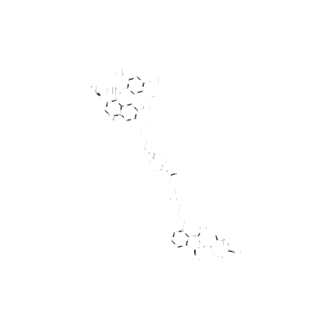 COc1cc(Nc2c(C#N)cnc3cc(OCCCN4CCN(C(=O)CCOCCCc5cccc6c5C(=O)N(C5CCC(=O)NC5=O)C6=O)CC4)c(OC)cc23)c(Cl)cc1Cl